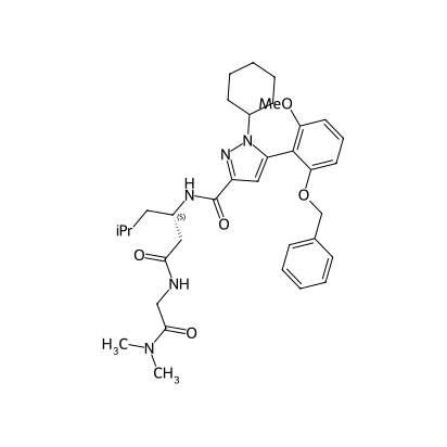 COc1cccc(OCc2ccccc2)c1-c1cc(C(=O)N[C@H](CC(=O)NCC(=O)N(C)C)CC(C)C)nn1C1CCCCC1